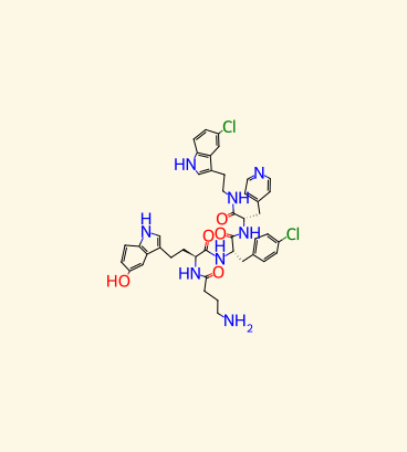 NCCCC(=O)N[C@@H](CCc1c[nH]c2ccc(O)cc12)C(=O)N[C@@H](Cc1ccc(Cl)cc1)C(=O)N[C@@H](Cc1ccncc1)C(=O)NCCc1c[nH]c2ccc(Cl)cc12